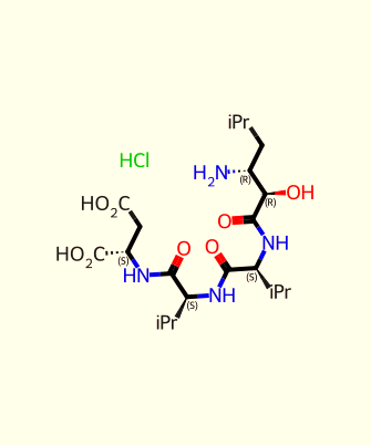 CC(C)C[C@@H](N)[C@@H](O)C(=O)N[C@H](C(=O)N[C@H](C(=O)N[C@@H](CC(=O)O)C(=O)O)C(C)C)C(C)C.Cl